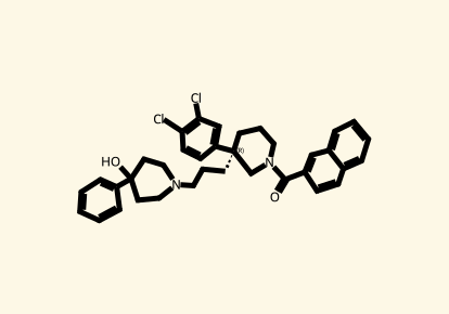 O=C(c1ccc2ccccc2c1)N1CCC[C@](CCCN2CCC(O)(c3ccccc3)CC2)(c2ccc(Cl)c(Cl)c2)C1